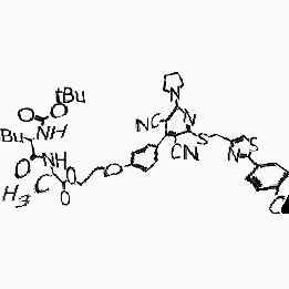 CC[C@H](C)[C@H](NC(=O)OC(C)(C)C)C(=O)N[C@@H](C)C(=O)OCCOc1ccc(-c2c(C#N)c(SCc3csc(-c4ccc(Cl)cc4)n3)nc(N3CCCC3)c2C#N)cc1